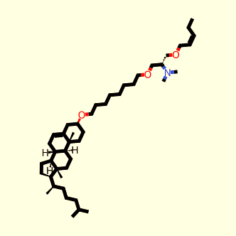 CC/C=C\COC[C@@H](COCCCCCCCCO[C@H]1CC[C@@]2(C)C(=CC[C@H]3[C@@H]4CC[C@H]([C@H](C)CCCC(C)C)[C@@]4(C)CC[C@@H]32)C1)N(C)C